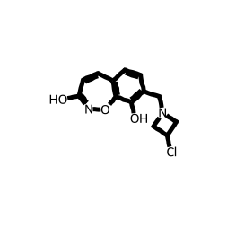 OC1=NOc2c(ccc(CN3CC(Cl)C3)c2O)C=C1